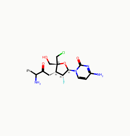 CC(C)C(N)C(=O)C[C@H]1[C@@H](F)[C@H](n2ccc(N)nc2=O)O[C@@]1(CO)CCl